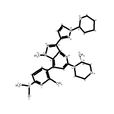 Cc1nc([S+](C)[O-])ccc1-c1cc(N2CCOC[C@H]2C)nc2c(-c3ccn(C4CCCCO4)n3)nn(C)c12